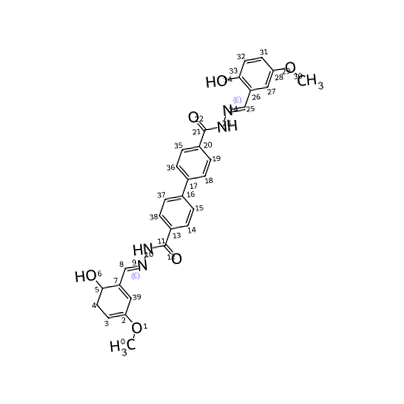 COC1=CCC(O)C(/C=N/NC(=O)c2ccc(-c3ccc(C(=O)N/N=C/c4cc(OC)ccc4O)cc3)cc2)=C1